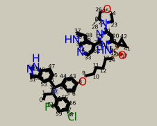 CC/C(=C(/c1ccc(OCCCCCCS(=N)(=O)C2(c3cc(N4CCOC[C@H]4C)nc(-c4ccnc5[nH]ccc45)n3)CC2)cc1)c1ccc2[nH]ncc2c1)c1ccc(Cl)cc1F